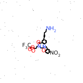 NCCCC#Cc1ccc2c(c1)C(=O)N(CCC(=O)OC(=O)C(F)(F)F)CC(=O)N2Cc1cccc([N+](=O)[O-])c1